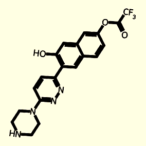 O=C(Oc1ccc2cc(-c3ccc(N4CCNCC4)nn3)c(O)cc2c1)C(F)(F)F